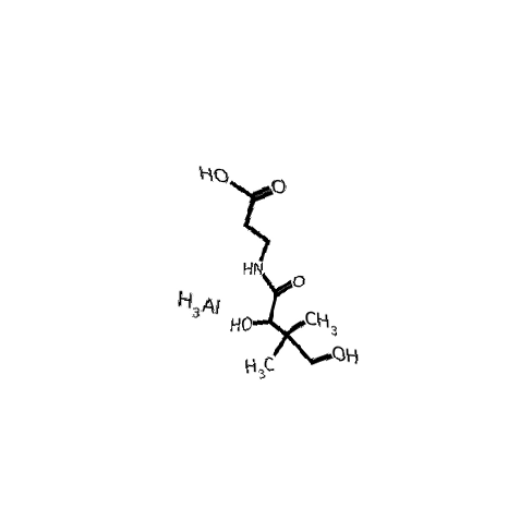 CC(C)(CO)C(O)C(=O)NCCC(=O)O.[AlH3]